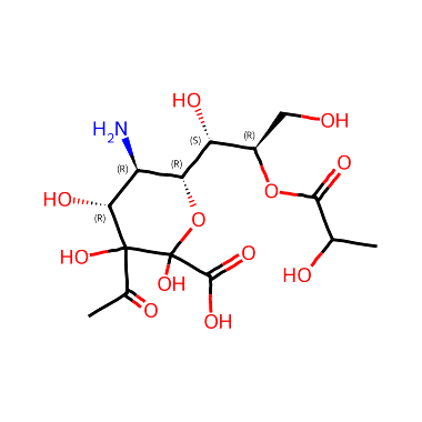 CC(=O)C1(O)[C@H](O)[C@@H](N)[C@H]([C@H](O)[C@@H](CO)OC(=O)C(C)O)OC1(O)C(=O)O